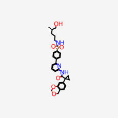 C[C@@H](CO)CCCNS(=O)(=O)c1ccc(-c2cccc(NC(=O)C3(c4ccc5c(c4)OCOC5)CC3)n2)cc1